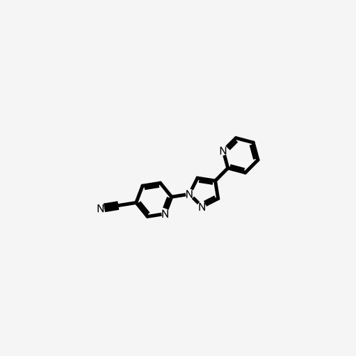 N#Cc1ccc(-n2cc(-c3ccccn3)cn2)nc1